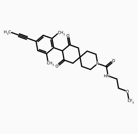 CC#Cc1cc(C)c(C2C(=O)CC3(CCN(C(=O)NCCOC(F)(F)F)CC3)CC2=O)c(C)c1